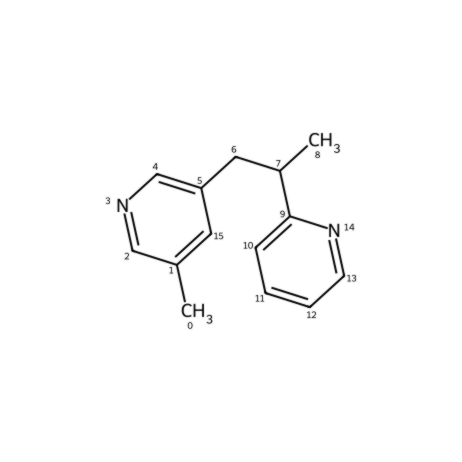 Cc1cncc(CC(C)c2ccccn2)c1